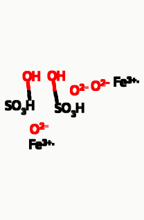 O=S(=O)(O)O.O=S(=O)(O)O.[Fe+3].[Fe+3].[O-2].[O-2].[O-2]